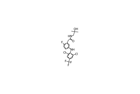 CC(C)(O)CNC(=O)Cc1cc(Nc2c(Cl)cc(C(F)(F)F)cc2Cl)ccc1F